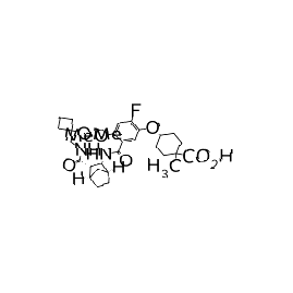 COc1cc(F)c(OC2CCC(C)(C(=O)O)CC2)cc1C(=O)N[C@@H]1[C@H]2CC[C@H](C2)[C@@H]1C(=O)NCC1(OC)CCC1